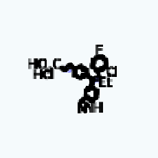 CC/C(=C(/c1ccc(/C=C/C(=O)O)cc1)c1ccc2[nH]ncc2c1)c1ccc(F)cc1Cl.Cl